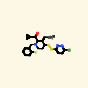 O=C(O)/C=C1\C(SSc2ccc(Cl)nn2)CCN(Cc2ccccc2F)C1C(=O)C1CC1